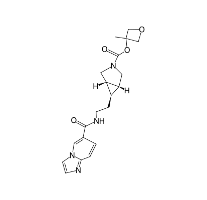 CC1(OC(=O)N2C[C@@H]3[C@@H](CCNC(=O)c4ccc5nccn5c4)[C@@H]3C2)COC1